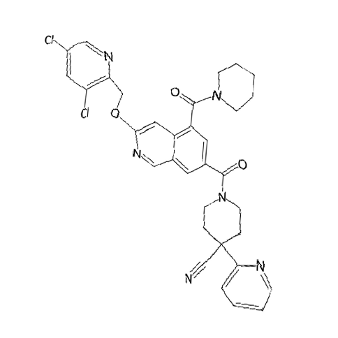 N#CC1(c2ccccn2)CCN(C(=O)c2cc(C(=O)N3CCCCC3)c3cc(OCc4ncc(Cl)cc4Cl)ncc3c2)CC1